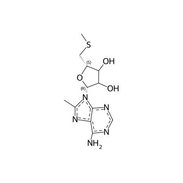 CSC[C@H]1O[C@@H](n2c(C)nc3c(N)ncnc32)C(O)C1O